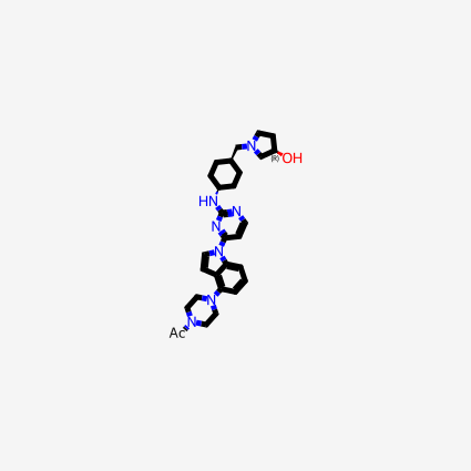 CC(=O)N1CCN(c2cccc3c2ccn3-c2ccnc(N[C@H]3CC[C@H](CN4CC[C@@H](O)C4)CC3)n2)CC1